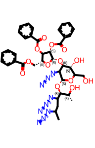 CC(CC(N=[N+]=[N-])[C@@H](O[C@H]1OC(CO)[C@@H](O)[C@H](O[C@@H]2O[C@H](COC(=O)c3ccccc3)C(OC(=O)c3ccccc3)[C@@H]2OC(=O)c2ccccc2)C1N=[N+]=[N-])[C@@H](C)O)N=[N+]=[N-]